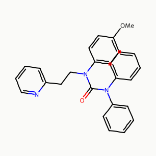 COc1ccc(N(CCc2ccccn2)C(=O)N(c2ccccc2)c2ccccc2)cc1